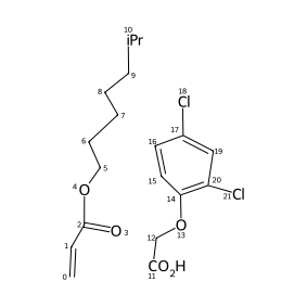 C=CC(=O)OCCCCCC(C)C.O=C(O)COc1ccc(Cl)cc1Cl